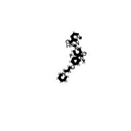 CN1CCCc2c1nc(N1CCC3(CC1)C(=O)N(C)c1cc(OCCCN4CCCCC4)cc(F)c13)[nH]c2=O